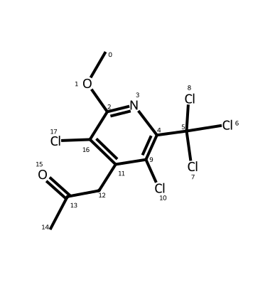 COc1nc(C(Cl)(Cl)Cl)c(Cl)c(CC(C)=O)c1Cl